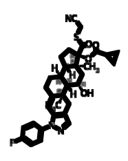 C[C@]12Cc3cnn(-c4ccc(F)cc4)c3C=C1CC[C@@H]1[C@@H]2[C@@H](O)C[C@@]2(C)[C@H]1CC[C@]2(OC(=O)C1CC1)C(=O)SCC#N